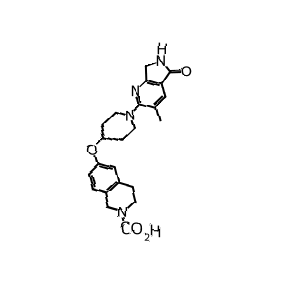 Cc1cc2c(nc1N1CCC(Oc3ccc4c(c3)CCN(C(=O)O)C4)CC1)CNC2=O